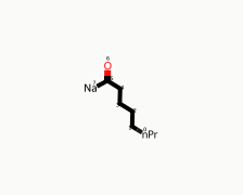 CCCCCCC[C](=O)[Na]